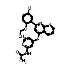 CCOc1ccc(Cl)cc1-c1cc(Nc2ccnc(NC(C)=O)c2)c2cccnc2n1